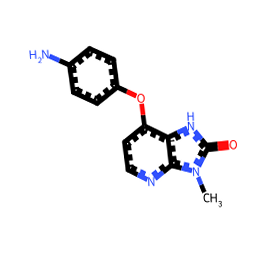 Cn1c(=O)[nH]c2c(Oc3ccc(N)cc3)ccnc21